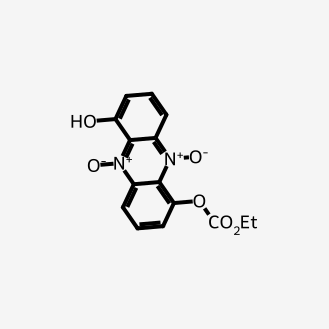 CCOC(=O)Oc1cccc2c1[n+]([O-])c1cccc(O)c1[n+]2[O-]